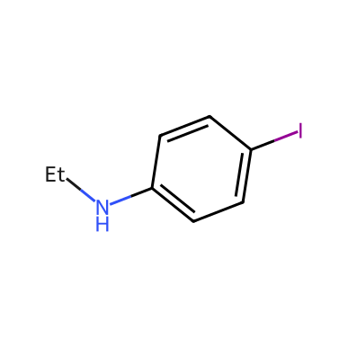 CCNc1ccc(I)cc1